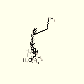 CCCCCCCC/C=C\CCCCCCCCOCC(CN1CCOCC1)OCCOCCOC(=O)O[C@H]1CC[C@@]2(C)C(=CC[C@@H]3C2CC[C@]2(C)[C@H]([C@H](C)CCCC(C)C)CC[C@@H]32)C1